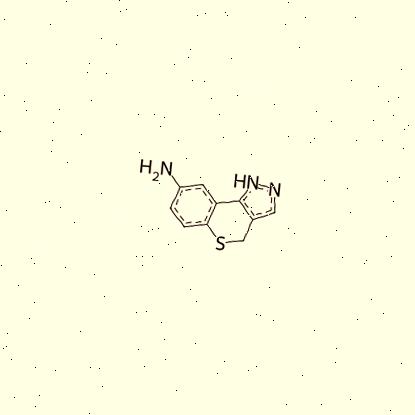 Nc1ccc2c(c1)-c1[nH]ncc1CS2